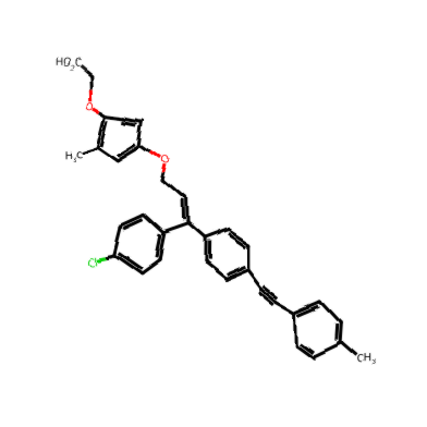 Cc1ccc(C#Cc2ccc(C(=CCOc3ccc(OCC(=O)O)c(C)c3)c3ccc(Cl)cc3)cc2)cc1